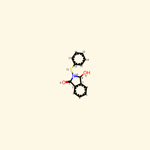 O=C1c2ccccc2C(O)N1Sc1ccccc1